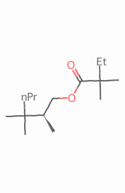 CCCC(C)(C)[C@H](C)COC(=O)C(C)(C)CC